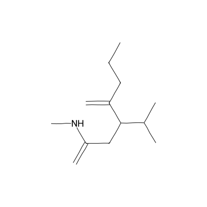 C=C(CC(C(=C)CCC)C(C)C)NC